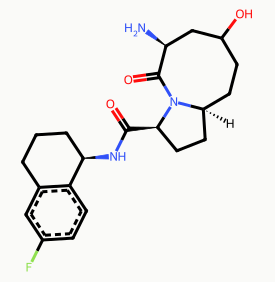 N[C@H]1CC(O)CC[C@H]2CC[C@@H](C(=O)N[C@@H]3CCCc4cc(F)ccc43)N2C1=O